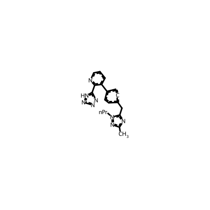 CCCn1nc(C)nc1Cc1ccc(-c2cccnc2-c2nnn[nH]2)cc1